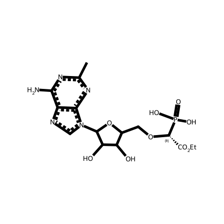 CCOC(=O)[C@H](OCC1OC(n2cnc3c(N)nc(C)nc32)C(O)C1O)P(=O)(O)O